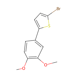 COc1ccc(-c2ccc(Br)s2)cc1OC